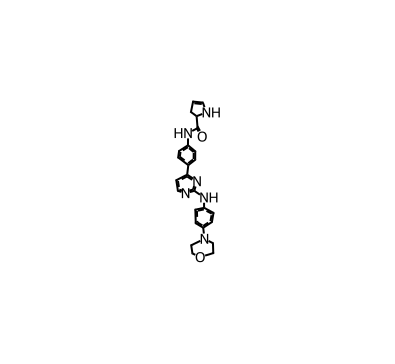 O=C(Nc1ccc(-c2ccnc(Nc3ccc(N4CCOCC4)cc3)n2)cc1)C1CC=CN1